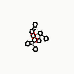 c1ccc(-c2ccccc2-c2c(-c3ccccc3)cccc2N(c2ccc3c(c2)c2ccccc2n3-c2ccccc2)c2cccc3c2sc2ccccc23)cc1